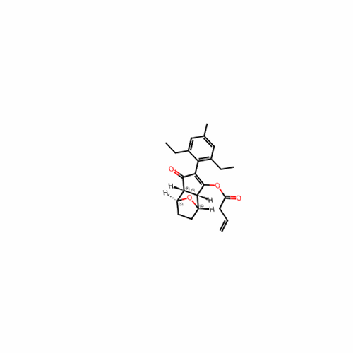 C=CCC(=O)OC1=C(c2c(CC)cc(C)cc2CC)C(=O)[C@@H]2[C@H]1[C@@H]1CC[C@@H]2O1